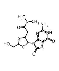 CN(C)C(=O)CC1SC(CO)OC1n1c(=O)sc2c(=O)[nH]c(N)nc21